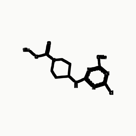 COc1nc(Cl)nc(NC2CCN(C(=O)OC(C)(C)C)CC2)n1